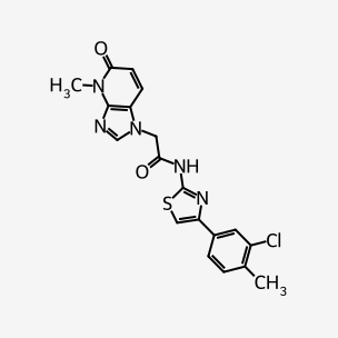 Cc1ccc(-c2csc(NC(=O)Cn3cnc4c3ccc(=O)n4C)n2)cc1Cl